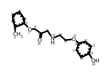 Cc1ccccc1OCC(=O)CNCCOc1ccc(O)cc1